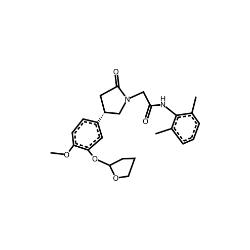 COc1ccc([C@@H]2CC(=O)N(CC(=O)Nc3c(C)cccc3C)C2)cc1OC1CCCO1